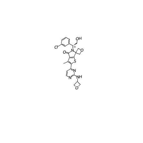 Cc1c(-c2ccnc(NC3COC3)n2)sc2c1C(=O)N([C@H](CO)c1cccc(Cl)c1)C21COC1